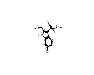 CC(C)(C)OC(=O)c1c(CO)[nH]c2cc(F)ccc12